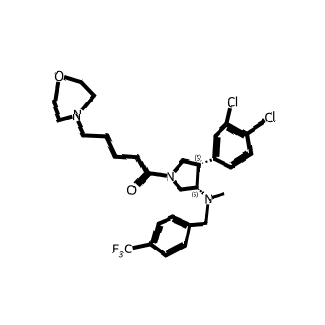 CN(Cc1ccc(C(F)(F)F)cc1)[C@@H]1CN(C(=O)CCCCN2CCOCC2)C[C@@H]1c1ccc(Cl)c(Cl)c1